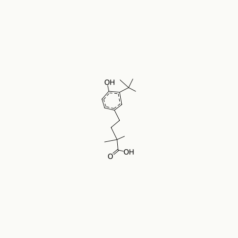 CC(C)(CCc1ccc(O)c(C(C)(C)C)c1)C(=O)O